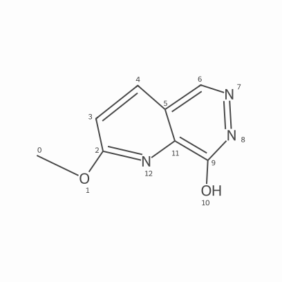 COc1ccc2cnnc(O)c2n1